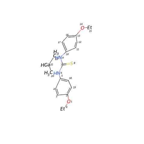 CCOc1ccc(NC(=S)Nc2ccc(OCC)cc2)cc1.[CH3][GaH][CH3]